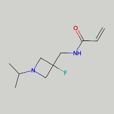 C=CC(=O)NCC1(F)CN(C(C)C)C1